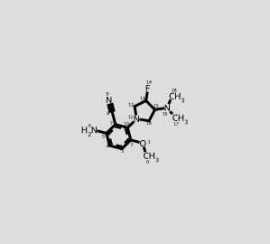 COc1ccc(N)c(C#N)c1N1CC(F)C(N(C)C)C1